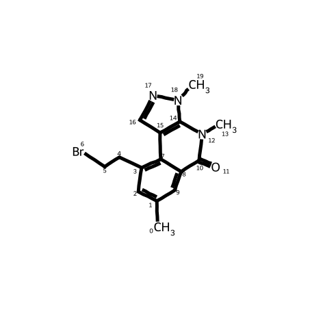 Cc1cc(CCBr)c2c(c1)c(=O)n(C)c1c2cnn1C